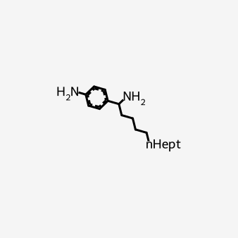 CCCCCCCCCCCC(N)c1ccc(N)cc1